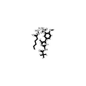 CCCCCC(=O)NO.COc1ccc(-c2sc(NC(=O)C(C)(C)C)nc2C)cc1S(N)(=O)=O